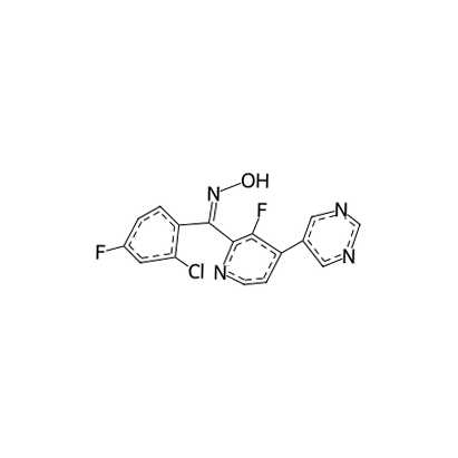 ON=C(c1ccc(F)cc1Cl)c1nccc(-c2cncnc2)c1F